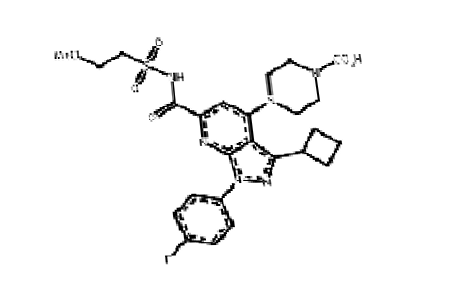 COCCS(=O)(=O)NC(=O)c1cc(N2CCN(C(=O)O)CC2)c2c(C3CCC3)nn(-c3ccc(F)cc3)c2n1